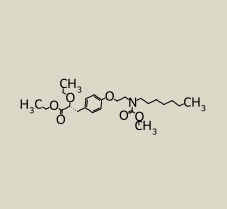 CCCCCCCN(CCOc1ccc(C[C@@H](OCC)C(=O)OCC)cc1)C(=O)OC